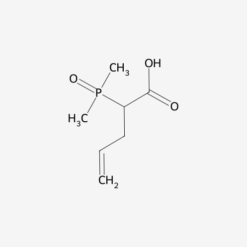 C=CCC(C(=O)O)P(C)(C)=O